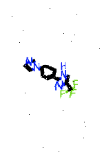 FC(F)(F)c1c[nH]c(-c2ccc(-n3ccnc3)cc2)n1